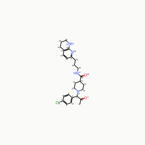 CC(=O)C(c1ccc(Cl)cc1)N1CCC(C(=O)NCCCc2ccc3c(n2)NCCC3)CC1